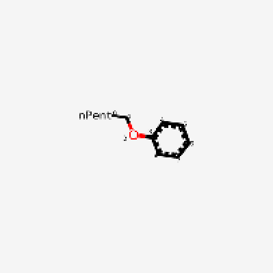 CCCCCCOc1c[c]ccc1